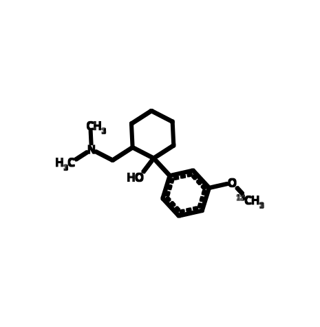 CN(C)CC1CCCCC1(O)c1cccc(O[13CH3])c1